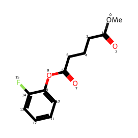 COC(=O)CCCC(=O)Oc1ccccc1F